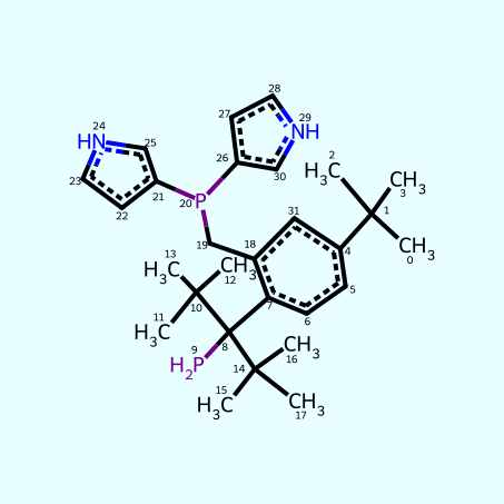 CC(C)(C)c1ccc(C(P)(C(C)(C)C)C(C)(C)C)c(CP(c2cc[nH]c2)c2cc[nH]c2)c1